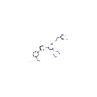 CO[C@@H](C)c1cccc(-c2ccn(-c3cc(N4CCOCC4)nc(OCCc4cnn(C)c4)n3)n2)c1